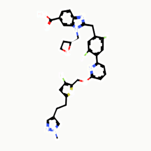 Cn1cc(CCc2cc(F)c(COc3cccc(-c4cc(F)c(Cc5nc6ccc(C(=O)O)cc6n5C[C@@H]5CCO5)cc4F)n3)s2)cn1